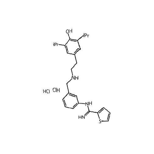 CC(C)c1cc(CCNCc2cccc(NC(=N)c3cccs3)c2)cc(C(C)C)c1O.Cl.Cl